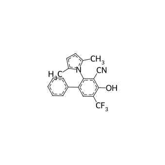 Cc1ccc(C)n1-c1c(-c2ccccc2)cc(C(F)(F)F)c(O)c1C#N